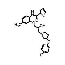 Cc1ccc(NC(=O)c2ccco2)c(OCC(O)CN2CCC(Oc3ccc(F)cc3)C2)c1